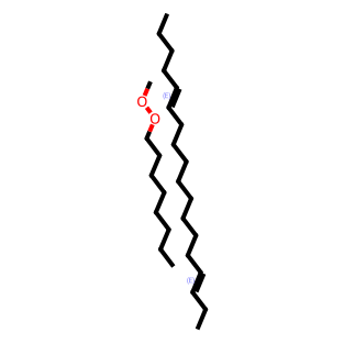 CC/C=C/CCCCCCCC/C=C/CCCC.CCCCCCCCOOC